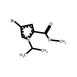 COC(=O)c1cc(Br)cn1C(C)C